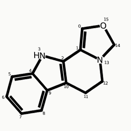 C1=C2c3[nH]c4ccccc4c3CCN2CO1